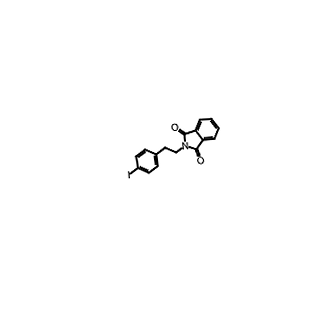 O=C1c2ccccc2C(=O)N1CCc1ccc(I)cc1